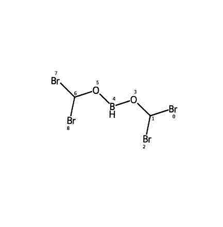 BrC(Br)OBOC(Br)Br